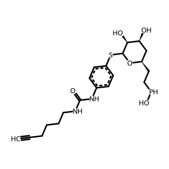 C#CCCCCNC(=O)Nc1ccc(SC2O[C@H](CCPO)C[C@H](O)[C@@H]2O)cc1